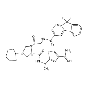 CC(NC(=O)[C@@H]1C[C@H](C2CCCCC2)CN1C(=O)CNC(=O)c1ccc2c(c1)-c1ccccc1C2(F)F)c1cc(C(=N)N)cs1